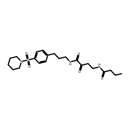 CCCC(=O)NCCC(=O)C(=O)NCCCc1ccc(S(=O)(=O)N2CCCCC2)cc1